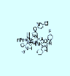 CCC[C@@H](NC(=O)C1C[C@@H](Oc2ccc(Cl)cn2)CN1C(=O)[C@H](NC(=O)[C@@H](Nc1nc2ccc(F)cc2o1)C1CCCCC1)C(C)(C)C)C(=O)C(=O)NC1CC1